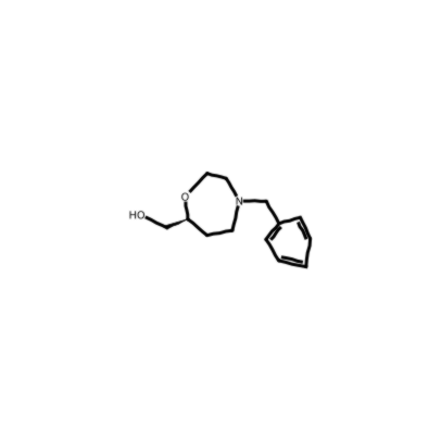 OC[C@@H]1CCN(Cc2ccccc2)CCO1